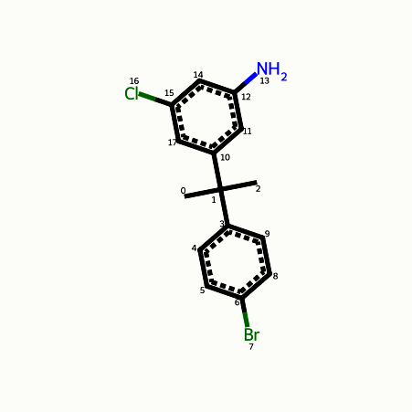 CC(C)(c1ccc(Br)cc1)c1cc(N)cc(Cl)c1